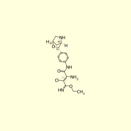 CCOC(=N)/C(Cl)=C(\N)C(=O)Nc1ccc([C@@H]2O[C@H]3CN[C@@H]2C3)cc1